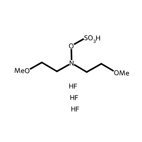 COCCN(CCOC)OS(=O)(=O)O.F.F.F